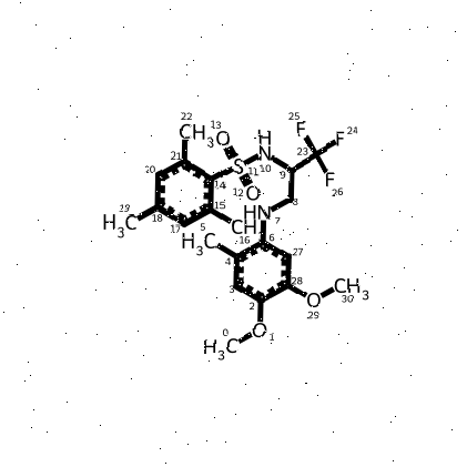 COc1cc(C)c(NCC(NS(=O)(=O)c2c(C)cc(C)cc2C)C(F)(F)F)cc1OC